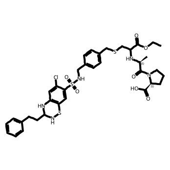 CCOC(=O)C(CSCc1ccc(CNS(=O)(=O)c2cc3c(cc2Cl)NC(CCc2ccccc2)NS3)cc1)N[C@@H](C)C(=O)N1CCC[C@H]1C(=O)O